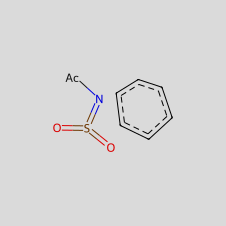 CC(=O)N=S(=O)=O.c1ccccc1